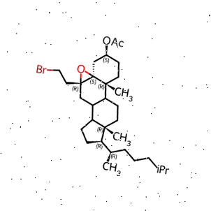 CC(=O)O[C@H]1CC[C@]2(C)C3CC[C@@]4(C)C(CC[C@@H]4[C@H](C)CCCC(C)C)C3C[C@]3(CCBr)O[C@]32C1